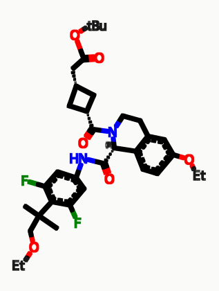 CCOCC(C)(C)c1c(F)cc(NC(=O)[C@H]2c3ccc(OCC)cc3CCN2C(=O)[C@H]2C[C@@H](CC(=O)OC(C)(C)C)C2)cc1F